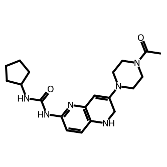 CC(=O)N1CCN(C2=Cc3nc(NC(=O)NC4CCCC4)ccc3NC2)CC1